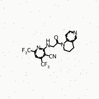 N#Cc1c(C(F)(F)F)cc(C(F)(F)F)nc1NCC(=O)N1CCCc2cnccc21